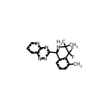 Cc1cccc2c1C(F)(F)C(C)(C)N=C2c1nnc2cccnc2n1